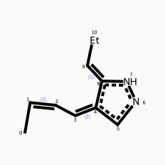 C\C=C/C=c1/cn[nH]/c1=C\CC